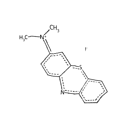 C[N+](C)=c1ccc2nc3ccccc3sc-2c1.[I-]